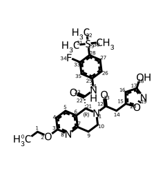 CCOc1ccc2c(n1)CCN(C(=O)Cc1cc(O)no1)[C@H]2C(=O)Nc1ccc(S(C)(C)C)c(F)c1